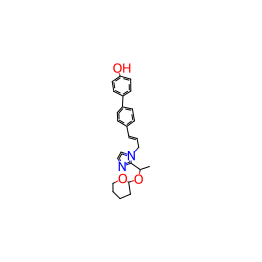 CC(OC1CCCCO1)c1nccn1C/C=C/c1ccc(-c2ccc(O)cc2)cc1